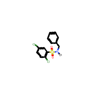 CCN(Cc1ccccc1)S(=O)(=O)c1cc(Cl)ccc1Cl